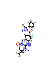 CC(C)[C@]1(C)CC(=O)N(Cc2ccc(F)c(C(=O)N[C@@H](C)c3ccccc3)c2)C(=N)N1